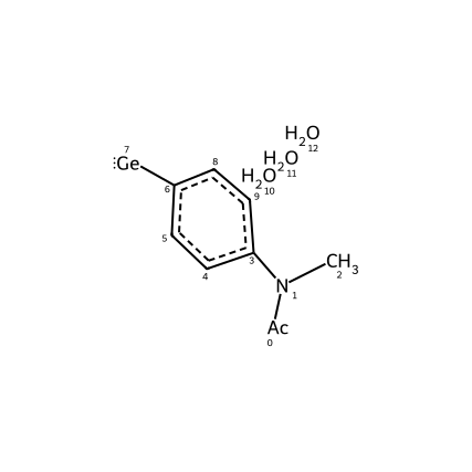 CC(=O)N(C)c1cc[c]([Ge])cc1.O.O.O